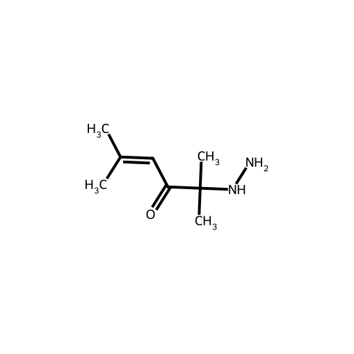 CC(C)=CC(=O)C(C)(C)NN